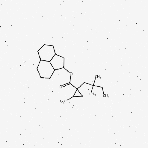 CCC(C)(C)CC1(C(=O)OC2CC3CCCC4CCCC2C43)CC1C